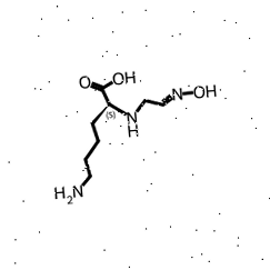 NCCCC[C@H](NCC=NO)C(=O)O